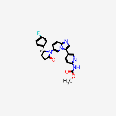 COC(=O)Nc1ccc(-c2cnc3ccc(N4C(=O)CC[C@@H]4c4ccc(F)cc4)cn23)cn1